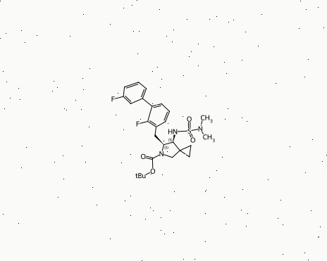 CN(C)S(=O)(=O)N[C@@H]1[C@H](Cc2cccc(-c3cccc(F)c3)c2F)N(C(=O)OC(C)(C)C)CC12CC2